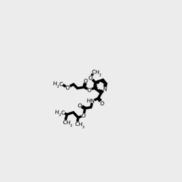 COCCC(=O)Oc1c(OC)ccnc1C(=O)NCC(=O)OC(C)CC(C)C